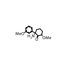 COc1cccc([C@@]2(N)CCC[C@H](OC)C2=O)c1